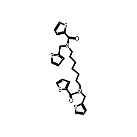 O=C(c1cccs1)N(CCCCCCCN(Cc1cccs1)C(=O)c1cccs1)Cc1cccs1